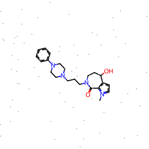 Cn1ccc2c1C(=O)N(CCCN1CCN(c3ccccc3)CC1)CCC2O